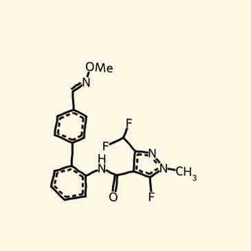 CO/N=C/c1ccc(-c2ccccc2NC(=O)c2c(C(F)F)nn(C)c2F)cc1